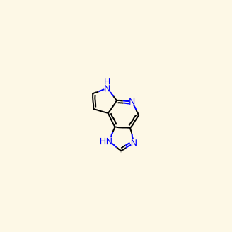 [c]1nc2cnc3[nH]ccc3c2[nH]1